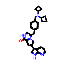 O=c1[nH]cc(Cc2ccc(CN(C3CCC3)C3CCC3)cc2)n2cc(-c3c[nH]c4ncccc34)cc12